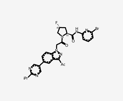 CC(=O)c1nn(CC(=O)N2C[C@H](F)C[C@H]2C(=O)Nc2cccc(Br)n2)c2ccc(-c3cnc(C(C)C)nc3)cc12